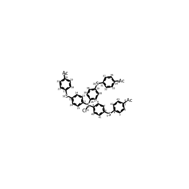 CC(=O)c1ccc(Sc2ccc(S(Cl)(c3ccc(Sc4ccc(C(C)=O)cc4)cc3)c3ccc(Sc4ccc(C(C)=O)cc4)cc3)cc2)cc1